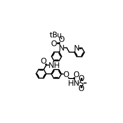 CC(C)(C)OC(=O)N(CCc1ccccn1)c1ccc(NC(=O)c2ccccc2-c2ccc(OCC(=O)NS(C)(=O)=O)cc2)cc1